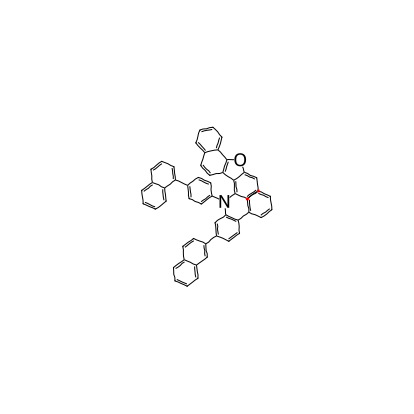 c1ccc(-c2ccc(-c3ccc4ccccc4c3)cc2N(c2ccc(-c3cccc4ccccc34)cc2)c2cccc3oc4c5ccccc5ccc4c23)cc1